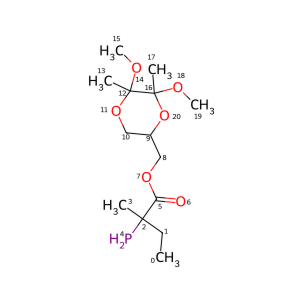 CCC(C)(P)C(=O)OCC1COC(C)(OC)C(C)(OC)O1